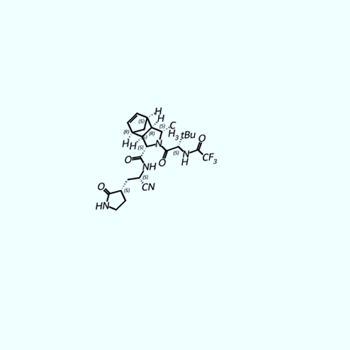 C[C@H]1[C@H]2[C@@H]([C@@H](C(=O)N[C@H](C#N)C[C@@H]3CCNC3=O)N1C(=O)[C@@H](NC(=O)C(F)(F)F)C(C)(C)C)[C@H]1C=C[C@@H]2C1